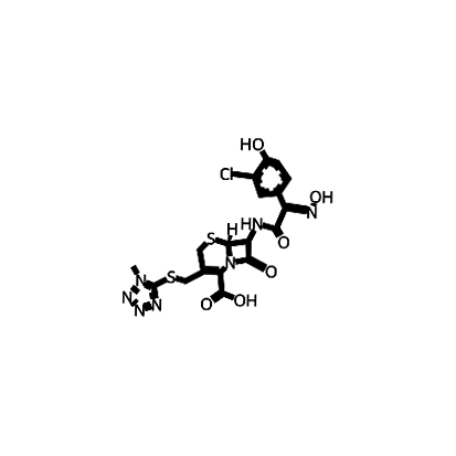 Cn1nnnc1SCC1=C(C(=O)O)N2C(=O)C(NC(=O)/C(=N/O)c3ccc(O)c(Cl)c3)[C@H]2SC1